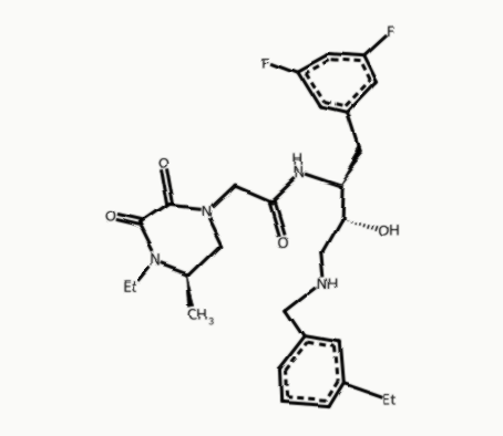 CCc1cccc(CNC[C@@H](O)[C@H](Cc2cc(F)cc(F)c2)NC(=O)CN2C[C@@H](C)N(CC)C(=O)C2=O)c1